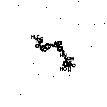 Cc1nc(C(=O)N2CCOC3(CCN(CCOc4ccc(CCNCC(O)c5ccc(O)c6[nH]c(=O)sc56)cc4)CC3)C2)cs1.Cl.Cl